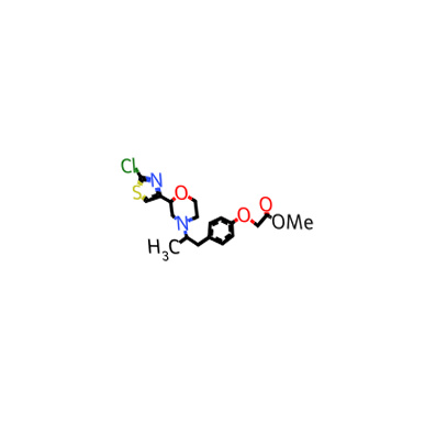 COC(=O)COc1ccc(CC(C)N2CCOC(c3csc(Cl)n3)C2)cc1